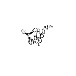 O.O.O.O.[Al+3].[O-]P([O-])[O-]